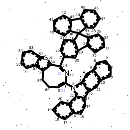 C1=C(n2c3cc4ccccc4cc3c3ccc4ccccc4c32)\N=C(\c2ccc3c(c2)-c2ccccc2C32c3ccccc3-c3ccccc32)c2sc3ccccc3c2CC/1